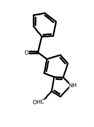 O=Cc1c[nH]c2ccc(C(=O)c3ccccc3)cc12